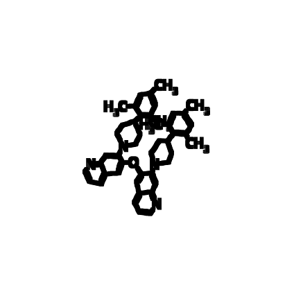 Cc1cc(C)c(C2CCN(c3cc4ncccc4cc3Oc3cc4cccnc4cc3N3CCC(c4c(C)cc(C)cc4C)CC3)CC2)c(C)c1